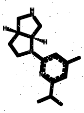 Cc1cc(C(C)C)nc(N2CC[C@@H]3CNC[C@H]32)c1